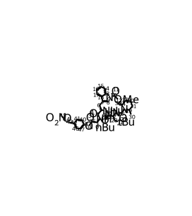 CCCC[C@@H](NC(=O)C(Cc1cn(C(=O)OC)c2ccccc12)NC(=O)C(CC(C)(C)C)NC(=O)N1C(C)CCCC1C)C(=O)Oc1ccc(CO[N+](=O)[O-])cc1